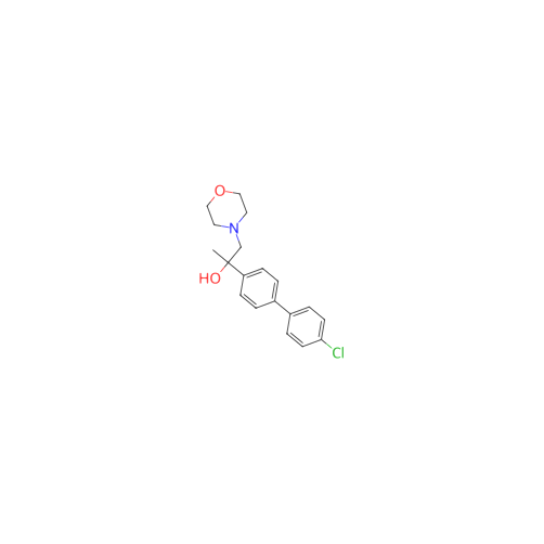 CC(O)(CN1CCOCC1)c1ccc(-c2ccc(Cl)cc2)cc1